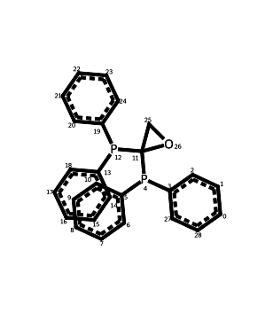 c1ccc(P(c2ccccc2)C2(P(c3ccccc3)c3ccccc3)CO2)cc1